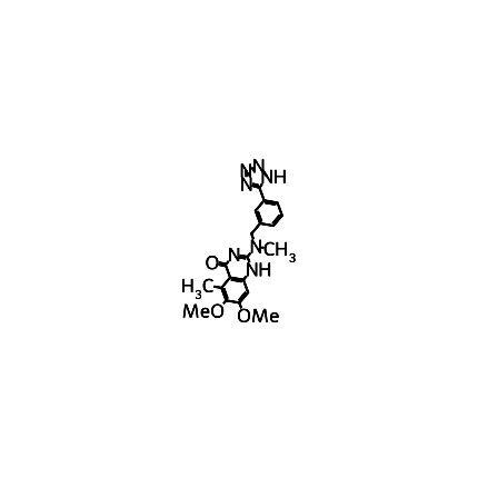 COc1cc2[nH]c(N(C)Cc3cccc(-c4nnn[nH]4)c3)nc(=O)c2c(C)c1OC